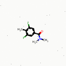 Cc1c(F)cc(C(=O)N(C)C)cc1F